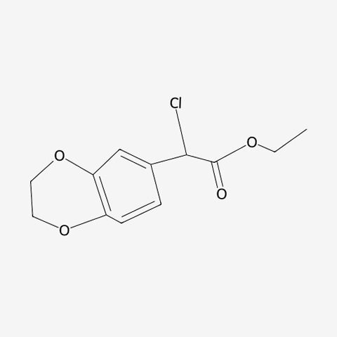 CCOC(=O)C(Cl)c1ccc2c(c1)OCCO2